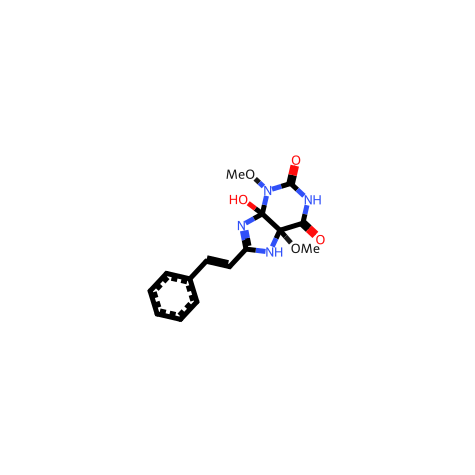 CON1C(=O)NC(=O)C2(OC)NC(C=Cc3ccccc3)=NC12O